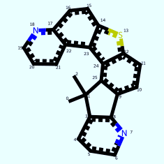 CC1(C)c2cccnc2-c2ccc3sc4ccc5ncccc5c4c3c21